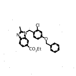 CCOC(=O)c1ccc2nc(C)n(Cc3ccc(OCc4ccccc4)cc3Cl)c2c1